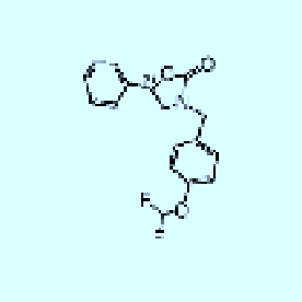 O=C1O[C@H](c2ccccc2)CN1Cc1ccc(OC(F)F)cc1